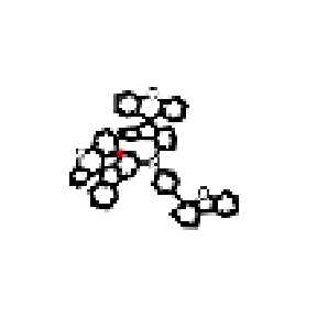 c1ccc2c(c1)Oc1ccccc1C21c2ccccc2-c2c(N(c3ccc(-c4cccc5c4oc4ccccc45)cc3)c3ccc4c(c3)-c3ccccc3C43c4ccccc4Sc4ccccc43)cccc21